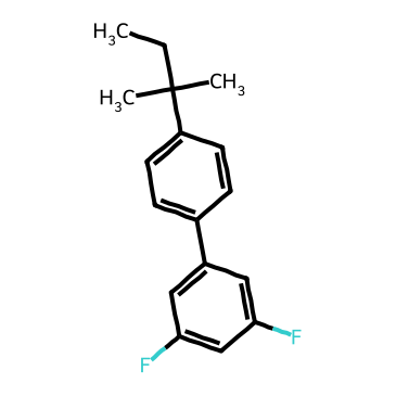 CCC(C)(C)c1ccc(-c2cc(F)cc(F)c2)cc1